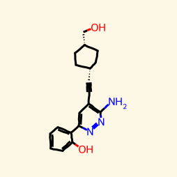 Nc1nnc(-c2ccccc2O)cc1C#C[C@H]1CC[C@@H](CO)CC1